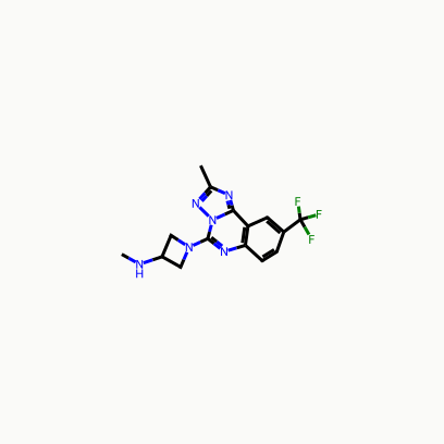 CNC1CN(c2nc3ccc(C(F)(F)F)cc3c3nc(C)nn23)C1